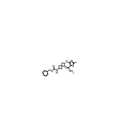 Cc1nc(O[C@H]2CC3(C[C@H](NC(=O)OCc4ccccc4)C3)C2)c(C(N)=O)s1